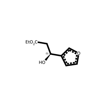 CCOC(=O)C[C@H](O)c1ccoc1